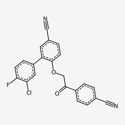 N#Cc1ccc(C(=O)COc2ccc(C#N)cc2-c2ccc(F)c(Cl)c2)cc1